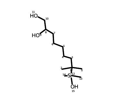 CC(C)(CCCCCC(O)CO)[Si](C)(C)O